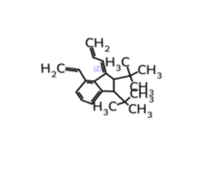 C=C/C=C1\c2c(C=C)cccc2C(C(C)(C)C)C1C(C)(C)C